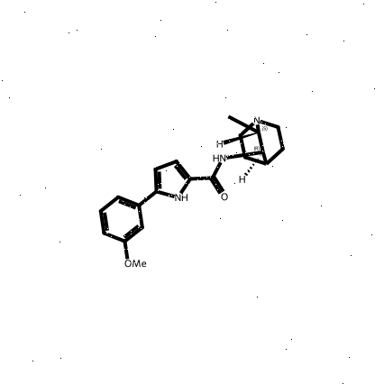 COc1cccc(-c2ccc(C(=O)N[C@@H]3C4CCN(CC4)[C@H]3C)[nH]2)c1